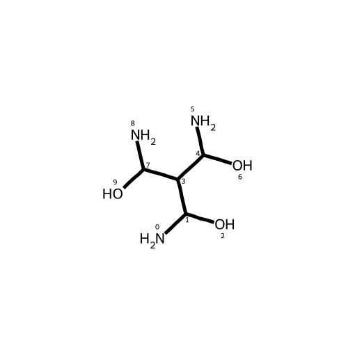 NC(O)C(C(N)O)C(N)O